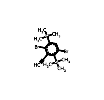 C#Cc1c(Br)c([Si](C)(C)C)cc(Br)c1[Si](C)(C)C